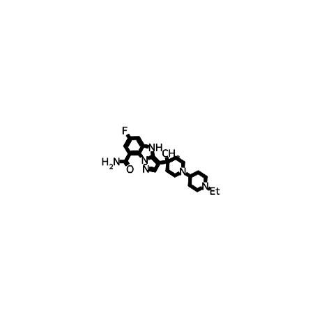 CCN1CCC(N2CCC(C)(c3cnn4c3[nH]c3cc(F)cc(C(N)=O)c34)CC2)CC1